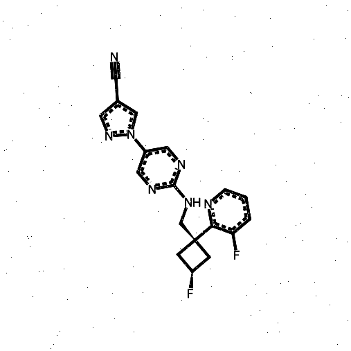 N#Cc1cnn(-c2cnc(NC[C@]3(c4ncccc4F)C[C@H](F)C3)nc2)c1